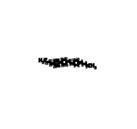 CCCCCC1CCC(CCC2CCC(c3ncc(CCCC)cn3)CC2)CC1